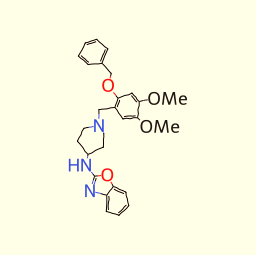 COc1cc(CN2CCC(Nc3nc4ccccc4o3)CC2)c(OCc2ccccc2)cc1OC